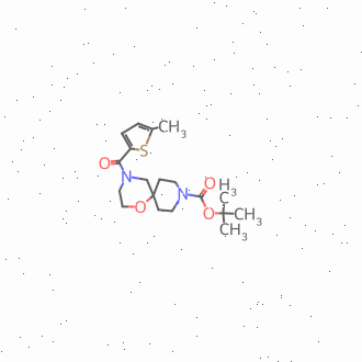 Cc1ccc(C(=O)N2CCOC3(CCN(C(=O)OC(C)(C)C)CC3)C2)s1